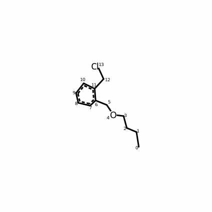 CCCCOCc1ccccc1CCl